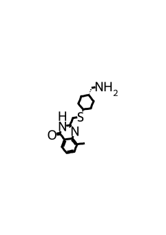 Cc1cccc2c(=O)[nH]c(CS[C@H]3CC[C@@H](CN)CC3)nc12